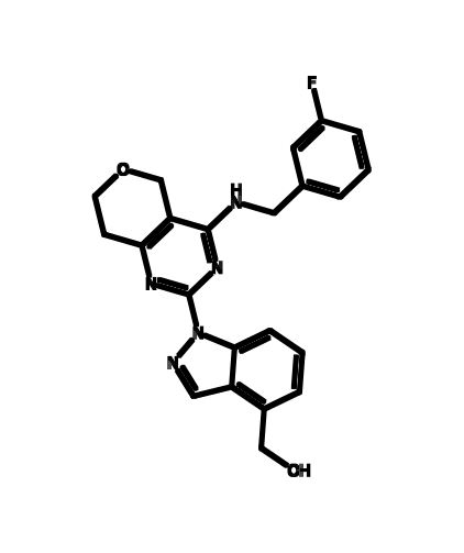 OCc1cccc2c1cnn2-c1nc2c(c(NCc3cccc(F)c3)n1)COCC2